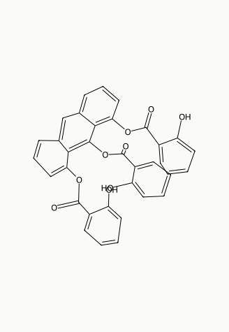 O=C(Oc1cccc2cc3cccc(OC(=O)c4ccccc4O)c3c(OC(=O)c3ccccc3O)c12)c1ccccc1O